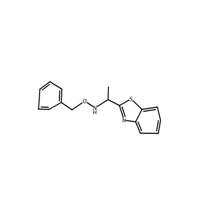 CC(NOCc1ccccc1)c1nc2ccccc2s1